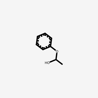 CC(O)Oc1c[c]ccc1